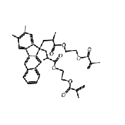 C=C(C)C(=O)OCCOC(=O)C(C)CC1(CC(C)C(=O)OCCOC(=O)C(=C)C)c2cc(C)c(C)cc2-c2cc3ccccc3cc21